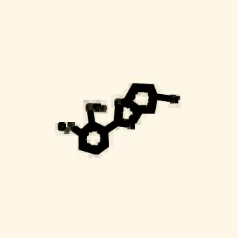 COc1c(-c2nc3cc(Br)ccc3o2)cccc1[N+](=O)[O-]